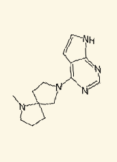 CN1CCCC12CCN(c1ncnc3[nH]ccc13)C2